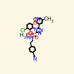 COc1ccc(Cl)c(OC)c1-n1c(-c2cncc(C)c2)nnc1S(=O)(=O)NCCc1ccc(C#N)cc1